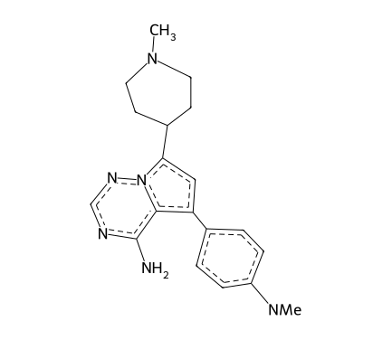 CNc1ccc(-c2cc(C3CCN(C)CC3)n3ncnc(N)c23)cc1